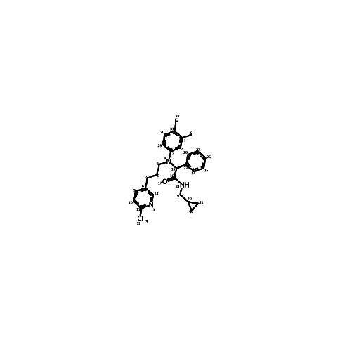 Cc1cc(N(CCCc2ccc(C(F)(F)F)nc2)C(C(=O)NCC2CC2)c2ccccc2)ccc1F